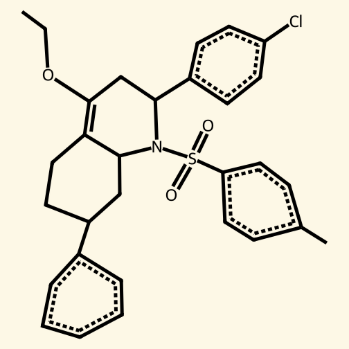 CCOC1=C2CCC(c3ccccc3)CC2N(S(=O)(=O)c2ccc(C)cc2)C(c2ccc(Cl)cc2)C1